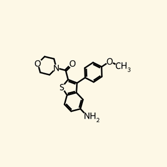 COc1ccc(-c2c(C(=O)N3CCOCC3)sc3ccc(N)cc23)cc1